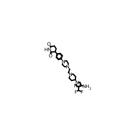 Nc1cn(C2CCN(CCN3CCN(c4ccc(C5CCC(=O)NC5=O)cc4)CC3)CC2)nc1C(F)F